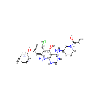 C#C/C=C(\C=C/C)Oc1ccc(C(=O)c2c(N)ncnc2NC2CCCN(C(=O)C=C)C2)c(Cl)c1